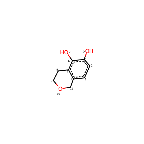 Oc1ccc2c(c1O)CCOC2